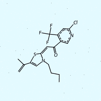 C=C(C)C1=CN(CCCC)C(=CC(=O)c2cnc(Cl)cc2C(F)(F)F)S1